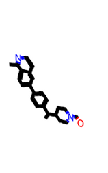 Cc1nccc2cc(-c3ccc(C(C)C4CCN(C=O)CC4)cc3)ccc12